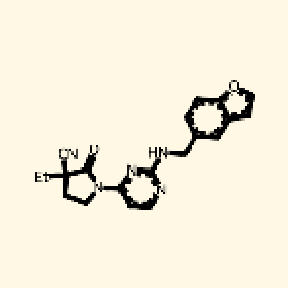 CCC1(C#N)CCN(c2ccnc(NCc3ccc4occc4c3)n2)C1=O